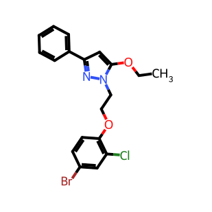 CCOc1cc(-c2ccccc2)nn1CCOc1ccc(Br)cc1Cl